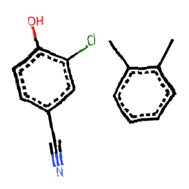 Cc1ccccc1C.N#Cc1ccc(O)c(Cl)c1